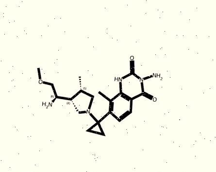 COC[C@H](N)[C@H]1CN(C2(c3ccc4c(=O)n(N)c(=O)[nH]c4c3C)CC2)C[C@H]1C